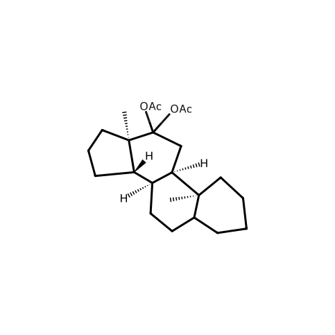 CC(=O)OC1(OC(C)=O)C[C@@H]2[C@@H](CCC3CCCC[C@@]32C)[C@@H]2CCC[C@]21C